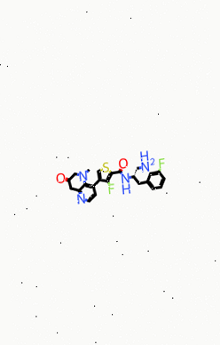 CN1CC(=O)Cc2nccc(-c3csc(C(=O)N[C@H](CN)Cc4cccc(F)c4)c3F)c21